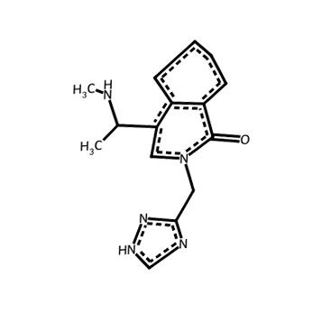 CNC(C)c1cn(Cc2nc[nH]n2)c(=O)c2ccccc12